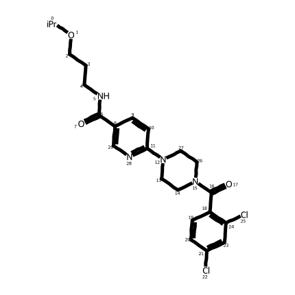 CC(C)OCCCNC(=O)c1ccc(N2CCN(C(=O)c3ccc(Cl)cc3Cl)CC2)nc1